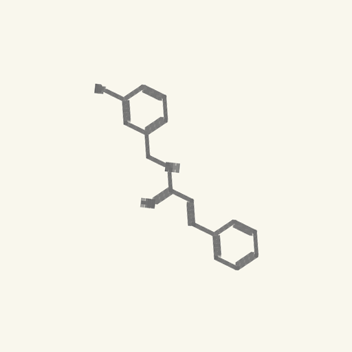 N=C(/C=C/c1ccccc1)NCc1cccc(Br)c1